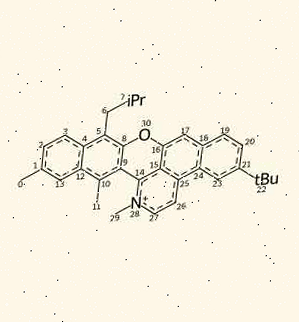 Cc1ccc2c(CC(C)C)c3c(c(C)c2c1)-c1c2c(cc4ccc(C(C)(C)C)cc4c2cc[n+]1C)O3